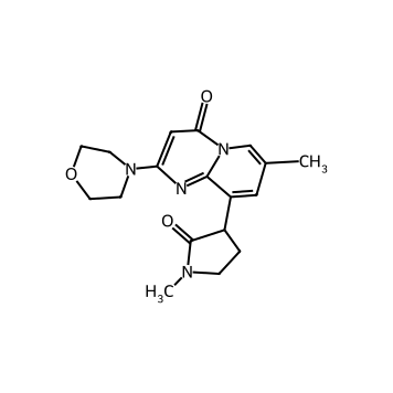 Cc1cc(C2CCN(C)C2=O)c2nc(N3CCOCC3)cc(=O)n2c1